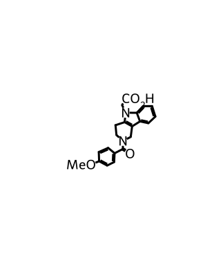 COc1ccc(C(=O)N2CCc3c(c4ccccc4n3CC(=O)O)C2)cc1